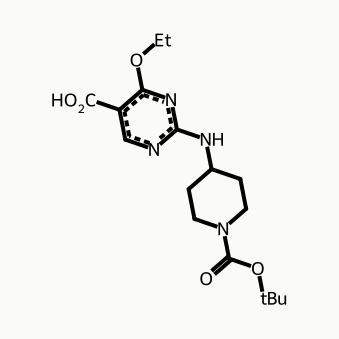 CCOc1nc(NC2CCN(C(=O)OC(C)(C)C)CC2)ncc1C(=O)O